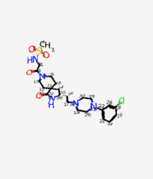 CS(=O)(=O)NCC(=O)N1CCC2(CC1)C[C@H](CCN1CCN(c3cccc(Cl)c3)CC1)NC2=O